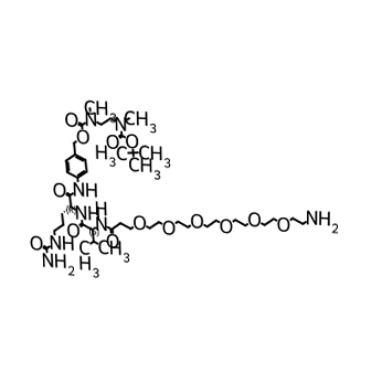 CC(C)[C@H](NC(=O)CCOCCOCCOCCOCCOCCOCCN)C(=O)N[C@H](CCCNC(N)=O)C(=O)Nc1ccc(COC(=O)N(C)CCN(C)C(=O)OC(C)(C)C)cc1